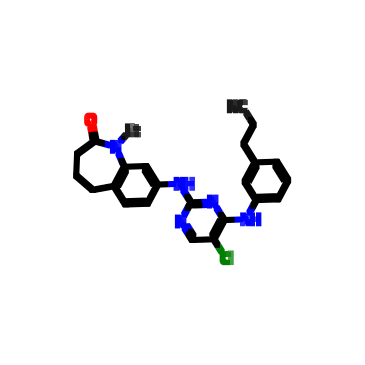 CCN1C(=O)CCCc2ccc(Nc3ncc(Cl)c(Nc4cccc(CCC#N)c4)n3)cc21